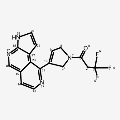 O=C(CC(F)(F)F)N1CC=C(c2nccc3cnc4[nH]ccc4c23)C1